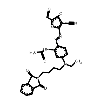 CCN(CCCCN1C(=O)c2ccccc2C1=O)c1ccc(/N=N/c2sc(C=O)c(Cl)c2C#N)c(NC(C)=O)c1